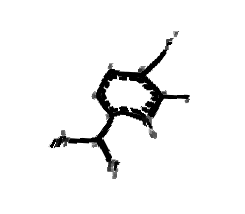 CCCC(CC)c1ccc(F)c(C)n1